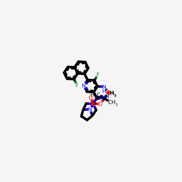 CNc1c(C(=N)N2CC3CCC(C2)N3C(=O)OC(C)(C)C)cnc(-c2cccc3cccc(F)c23)c1F